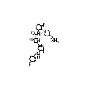 NCC1CCN(c2c(F)cccc2NC(=O)c2nc(-c3cc(NCc4ccc(F)cc4)ncn3)c[nH]2)CC1